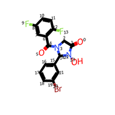 O=C1CN(C(=O)c2cc(F)ccc2F)C(c2cccc(Br)c2)N1O